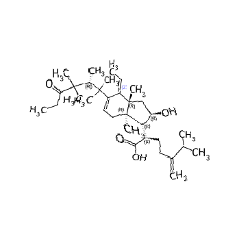 C=C(CC[C@@H](C(=O)O)[C@H]1[C@H](O)C[C@@]2(C)/C(=C/C)C(C(C)(C)[C@@H](C)C(C)(C)C(=O)CC)=CC[C@]12C)C(C)C